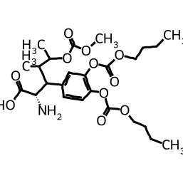 CCCCOC(=O)Oc1ccc(C(C(C)C(C)OC(=O)OC)[C@H](N)C(=O)O)cc1OC(=O)OCCCC